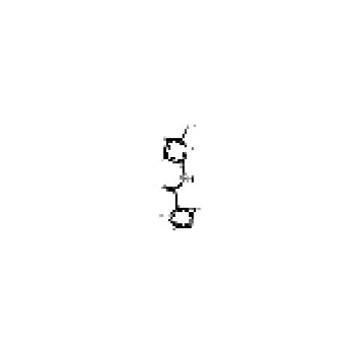 S=C(Nc1ccc(Cl)s1)c1nccs1